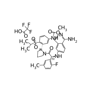 COC(=O)Nc1ccc(S(=O)(=O)C(C)C)c([C@H]2CCCN2C(=O)[C@@H](Nc2ccc3c(N)nccc3c2)c2cc(C)ccc2F)c1.O=C(O)C(F)(F)F